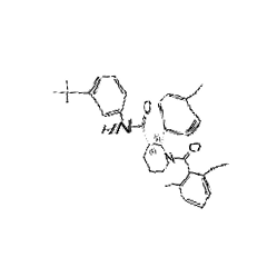 Cc1ccc([C@H]2[C@@H](C(=O)Nc3cccc(C(C)(C)C)c3)CCCN2C(=O)c2c(C)cccc2C)cc1